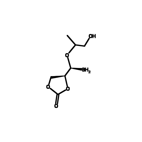 B[C@H](OC(C)CO)[C@@H]1COC(=O)O1